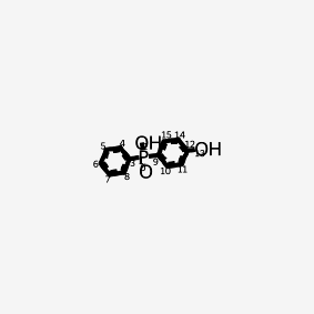 O=P(O)(c1ccccc1)c1ccc(O)cc1